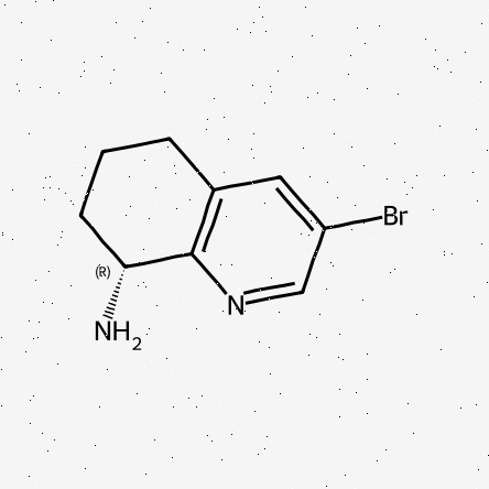 N[C@@H]1CCCc2cc(Br)cnc21